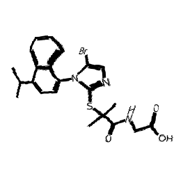 CC(C)c1ccc(-n2c(Br)cnc2SC(C)(C)C(=O)NCC(=O)O)c2ccccc12